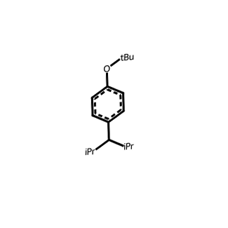 CC(C)C(c1ccc(OC(C)(C)C)cc1)C(C)C